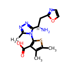 Cc1sc(-n2c(C)nnc2[C@@H](N)Cc2ncco2)c(C(=O)O)c1C